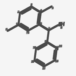 Cc1ccc(C)c(C(S)c2ccccn2)c1